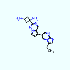 CCc1cnc2ncc(-c3ccn4nc(C5(N)CC(N)C5)ncc34)cn12